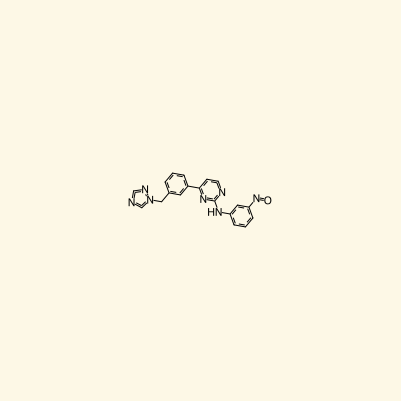 O=Nc1cccc(Nc2nccc(-c3cccc(Cn4cncn4)c3)n2)c1